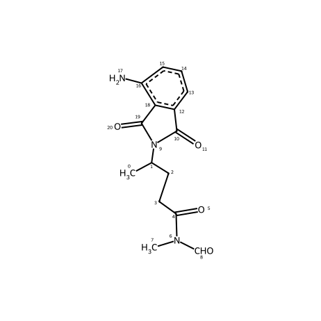 CC(CCC(=O)N(C)C=O)N1C(=O)c2cccc(N)c2C1=O